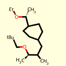 CCO[C@H](C)C1CCC(CC(C)[C@@H](C)OCC(C)(C)C)CC1